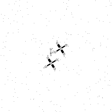 O=S(=O)([O-])[O-].O=S(=O)([O-])[O-].[B+3].[Li+]